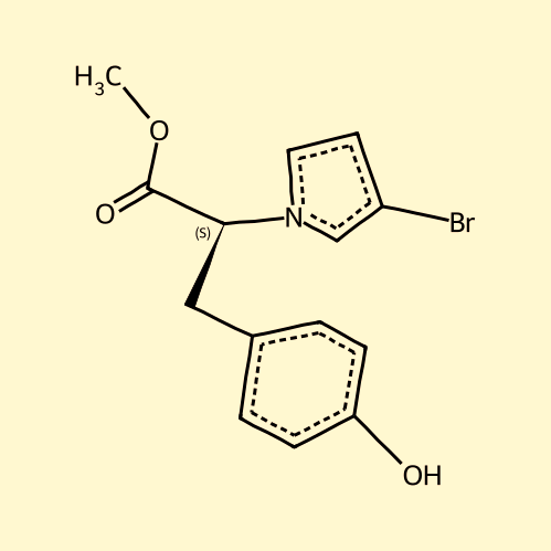 COC(=O)[C@H](Cc1ccc(O)cc1)n1ccc(Br)c1